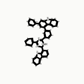 c1ccc(C2=NC(c3cccc4c3sc3ccccc34)NC(c3cccc(-c4cc(-c5ccccc5)cc5oc6ccccc6c45)c3)=N2)cc1